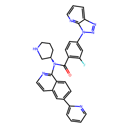 O=C(c1ccc(-n2nnc3cccnc32)cc1F)N(c1nccc2cc(-c3ccccn3)ccc12)[C@@H]1CCCNC1